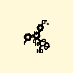 O=C(NC(CO)[C@H]1CCCO1)c1cc(-c2ccc(C(F)(F)F)cc2)nn(-c2cccc(F)c2)c1=O